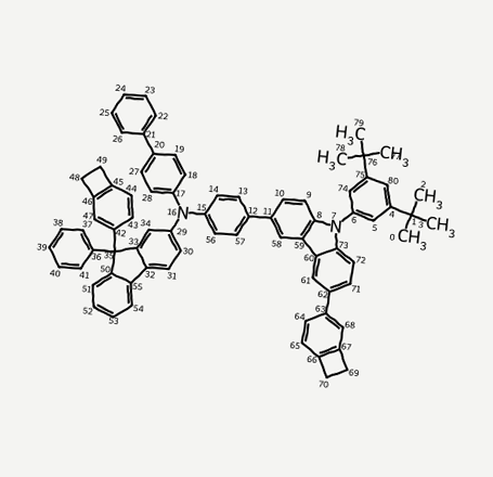 CC(C)(C)c1cc(-n2c3ccc(-c4ccc(N(c5ccc(-c6ccccc6)cc5)c5ccc6c(c5)C(c5ccccc5)(c5ccc7c(c5)CC7)c5ccccc5-6)cc4)cc3c3cc(-c4ccc5c(c4)CC5)ccc32)cc(C(C)(C)C)c1